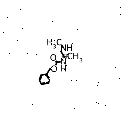 CNC[C@H](C)NC(=O)OCc1ccccc1